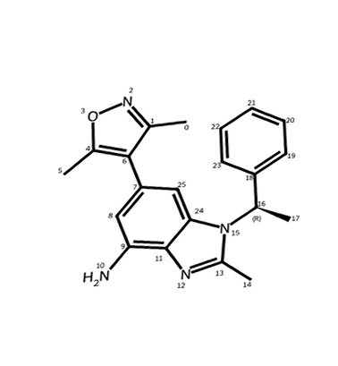 Cc1noc(C)c1-c1cc(N)c2nc(C)n([C@H](C)c3ccccc3)c2c1